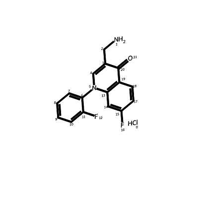 Cl.NCc1cn(-c2ccccc2F)c2cc(F)ccc2c1=O